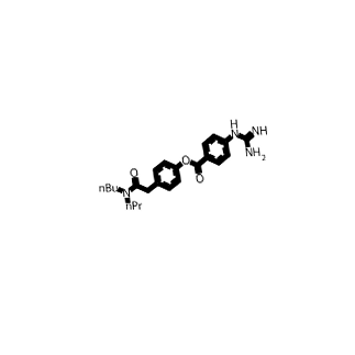 CCCCN(CCC)C(=O)Cc1ccc(OC(=O)c2ccc(NC(=N)N)cc2)cc1